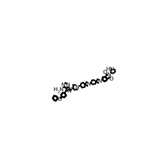 Nc1ncnc2c1c(-c1ccc(Oc3ccccc3)cc1)nn2C1CCN(C2CCC3(CC2)CN(C2CCC4(CC2)CN(c2ccc5c(c2)C(=O)N(C2CCCNC2)C5=O)C4)C3)CC1